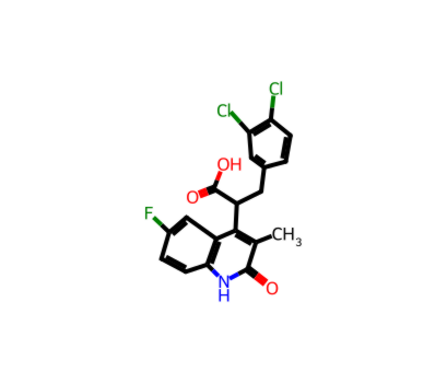 Cc1c(C(Cc2ccc(Cl)c(Cl)c2)C(=O)O)c2cc(F)ccc2[nH]c1=O